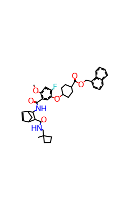 COc1cc(F)c(OC2CCC(C(=O)OCc3cccc4ccccc34)CC2)cc1C(=O)NC1C2C=CC(C2)C1C(=O)NCC1(C)CCC1